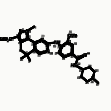 CCOC(=O)c1nn(C)c2c1CC(C)(C)c1cnc(Nc3ccc(C(=O)NC4CCN(C)CC4)cc3OC)nc1-2